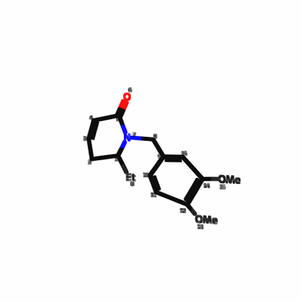 CCC1CC=CC(=O)N1Cc1ccc(OC)c(OC)c1